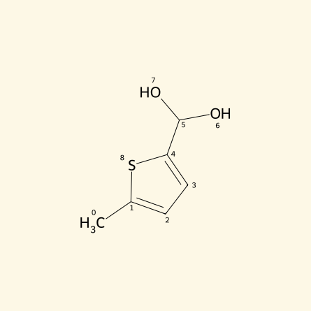 Cc1ccc(C(O)O)s1